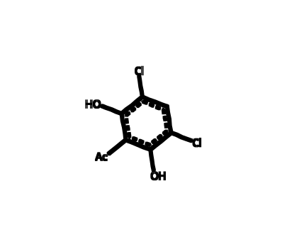 CC(=O)c1c(O)c(Cl)cc(Cl)c1O